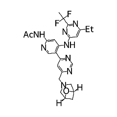 CCc1cc(Nc2cc(NC(C)=O)ncc2-c2cc(CN3C[C@H]4C[C@@H](C3)O4)ncn2)nc(C(C)(F)F)n1